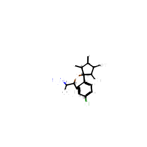 CC(C)C1C(C)C(C)C(SC(C)C(N)C(=O)O)(c2ccc(Cl)cc2)C1C(C)C